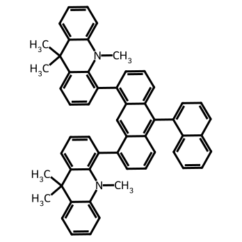 CN1c2ccccc2C(C)(C)c2cccc(-c3cccc4c(-c5cccc6ccccc56)c5cccc(-c6cccc7c6N(C)c6ccccc6C7(C)C)c5cc34)c21